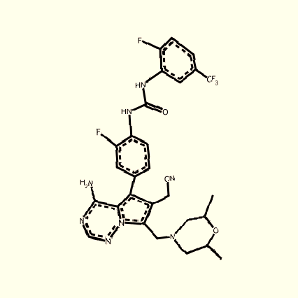 CC1CN(Cc2c(CC#N)c(-c3ccc(NC(=O)Nc4cc(C(F)(F)F)ccc4F)c(F)c3)c3c(N)ncnn23)CC(C)O1